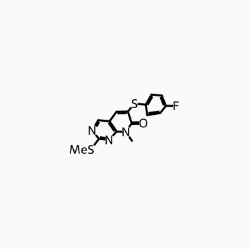 CSc1ncc2cc(Sc3ccc(F)cc3)c(=O)n(C)c2n1